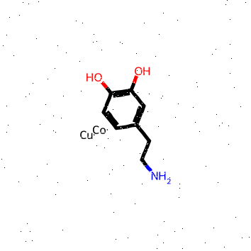 NCCc1ccc(O)c(O)c1.[Co].[Cu]